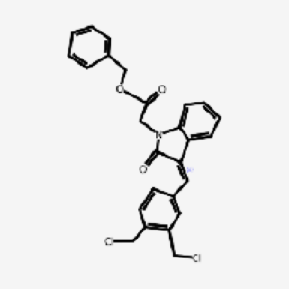 O=C(CN1C(=O)/C(=C\c2ccc(CCl)c(CCl)c2)c2ccccc21)OCc1ccccc1